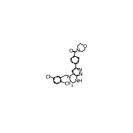 O=C(c1ccc(-c2cc3c(nn2)NCCN3Cc2cc(Cl)ccc2C(F)(F)F)cc1)N1CCOCC1